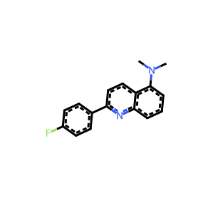 CN(C)c1cccc2nc(-c3ccc(F)cc3)ccc12